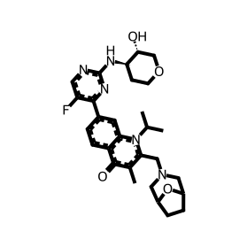 Cc1c(CN2CC3CCC(C2)O3)n(C(C)C)c2cc(-c3nc(N[C@@H]4CCOC[C@H]4O)ncc3F)ccc2c1=O